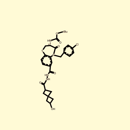 CC(C)(C)OC(=O)N[C@H]1CSc2ccc(C(=O)NNC(=O)C3CC4(CC(O)C4)C3)cc2N(Cc2ccc(Cl)cc2)C1=O